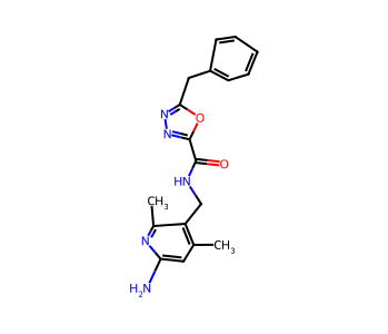 Cc1cc(N)nc(C)c1CNC(=O)c1nnc(Cc2ccccc2)o1